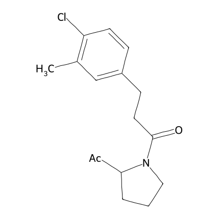 CC(=O)C1CCCN1C(=O)CCc1ccc(Cl)c(C)c1